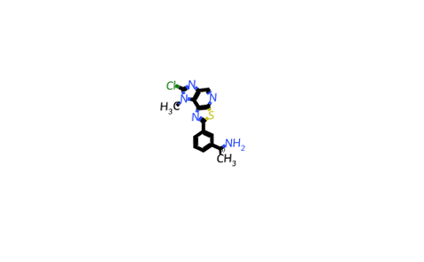 C[C@H](N)c1cccc(-c2nc3c(ncc4nc(Cl)n(C)c43)s2)c1